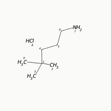 CC(C)(C)CCCN.Cl